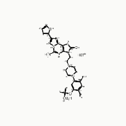 CC(C)(Oc1cc(N2CCN(CCn3c(=O)sc4c3nc(N)n3nc(-c5ccco5)nc43)CC2)c(F)cc1F)C(=O)O.Cl